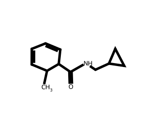 CC1C=CC=CC1C(=O)NCC1CC1